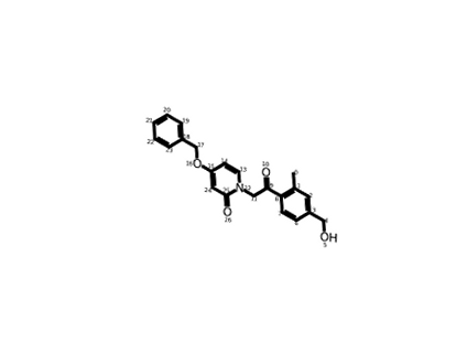 Cc1cc(CO)ccc1C(=O)Cn1ccc(OCc2ccccc2)cc1=O